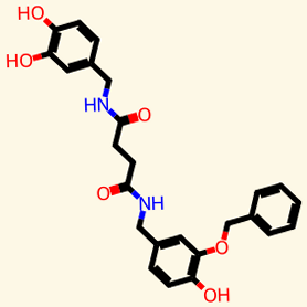 O=C(CCC(=O)NCc1ccc(O)c(OCc2ccccc2)c1)NCc1ccc(O)c(O)c1